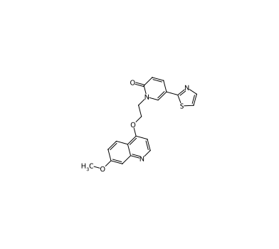 COc1ccc2c(OCCn3cc(-c4nccs4)ccc3=O)ccnc2c1